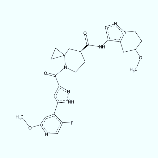 COc1cc(-c2cc(C(=O)N3CC[C@H](C(=O)Nc4cnn5c4CC(OC)CC5)CC34CC4)n[nH]2)c(F)cn1